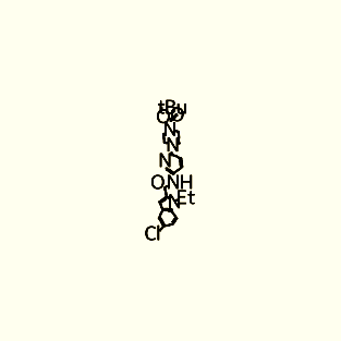 CCn1c(C(=O)Nc2ccc(N3CCN(C(=O)OC(C)(C)C)CC3)nc2)cc2cc(Cl)ccc21